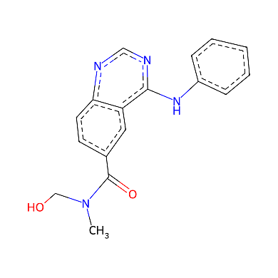 CN(CO)C(=O)c1ccc2ncnc(Nc3ccccc3)c2c1